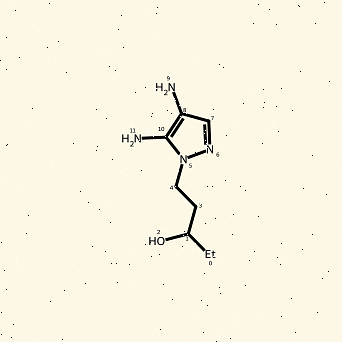 CCC(O)CCn1ncc(N)c1N